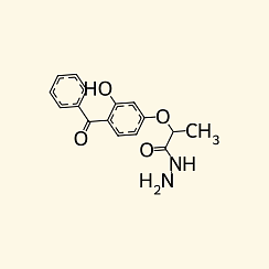 CC(Oc1ccc(C(=O)c2ccccc2)c(O)c1)C(=O)NN